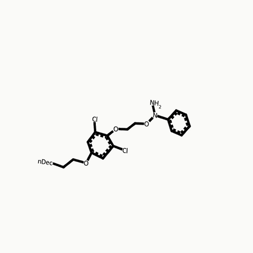 CCCCCCCCCCCCOc1cc(Cl)c(OCCON(N)c2ccccc2)c(Cl)c1